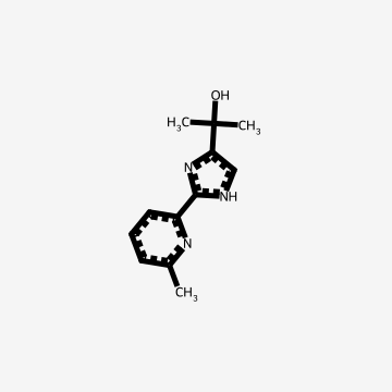 Cc1cccc(-c2nc(C(C)(C)O)c[nH]2)n1